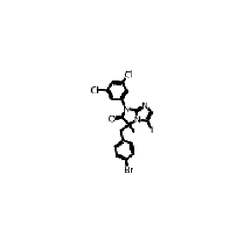 CC1(Cc2ccc(Br)cc2)C(=O)N(c2cc(Cl)cc(Cl)c2)c2ncc(I)n21